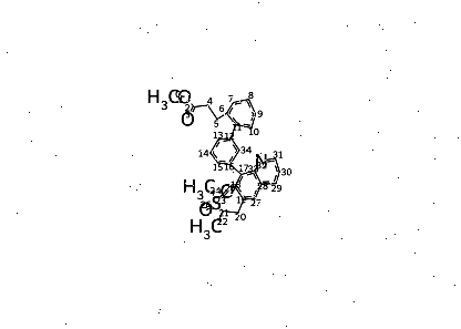 COC(=O)CCc1ccccc1-c1cccc(-c2cc(CC(C)S(C)(=O)=O)cc3cccnc23)c1